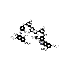 NC(=O)Nc1cc(Nc2nc(Cl)nc(NCCN3CCN(c4nc(Cl)nc(Nc5ccc(/N=N/c6c(N)c(S(=O)(=O)O)cc7cc(S(=O)(=O)O)cc(O)c67)c(S(=O)(=O)O)c5)n4)CC3)n2)ccc1/N=N\c1cc2c(S(=O)(=O)O)cc(S(=O)(=O)O)cc2cc1S(=O)(=O)O